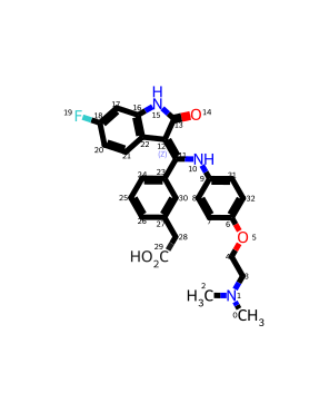 CN(C)CCOc1ccc(N/C(=C2\C(=O)Nc3cc(F)ccc32)c2cccc(CC(=O)O)c2)cc1